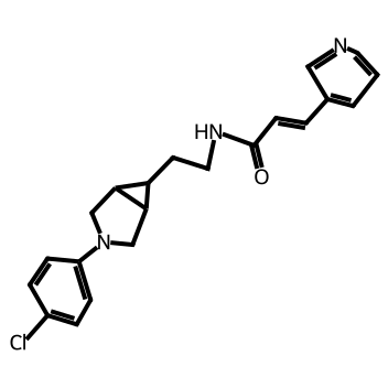 O=C(/C=C/c1cccnc1)NCCC1C2CN(c3ccc(Cl)cc3)CC12